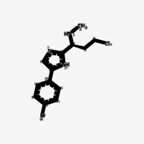 CN[C@@H](CCCl)c1ncc(-c2ccc(Br)cc2)[nH]1